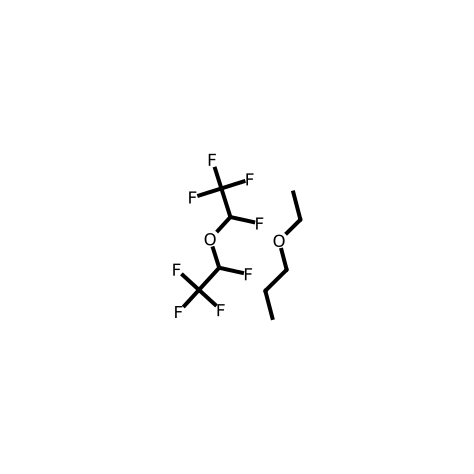 CCCOCC.FC(OC(F)C(F)(F)F)C(F)(F)F